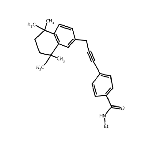 CCNC(=O)c1ccc(C#CCc2ccc3c(c2)C(C)(C)CCC3(C)C)cc1